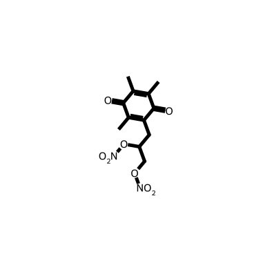 CC1=C(C)C(=O)C(CC(CO[N+](=O)[O-])O[N+](=O)[O-])=C(C)C1=O